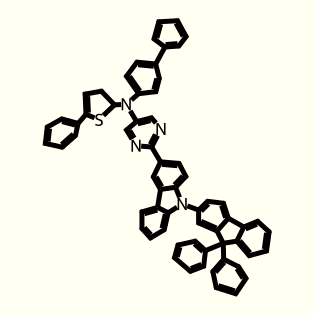 C1=C(c2ccccc2)SC(N(c2ccc(-c3ccccc3)cc2)c2cnc(-c3ccc4c(c3)c3ccccc3n4-c3ccc4c(c3)C(c3ccccc3)(c3ccccc3)c3ccccc3-4)nc2)C1